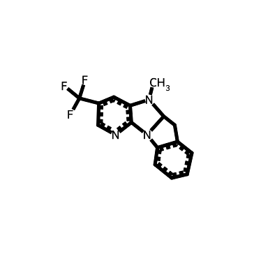 CN1c2cc(C(F)(F)F)cnc2N2c3ccccc3CC12